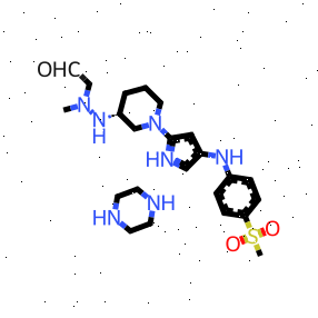 C1CNCCN1.CN(CC=O)N[C@@H]1CCCN(c2cc(Nc3ccc(S(C)(=O)=O)cc3)c[nH]2)C1